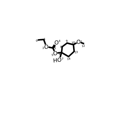 CCOC(=O)OC1(O)CCC(OC)CC1